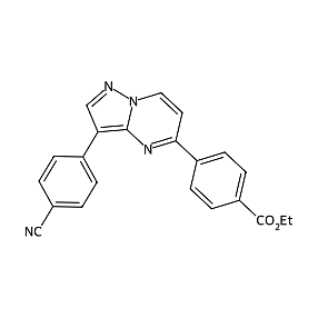 CCOC(=O)c1ccc(-c2ccn3ncc(-c4ccc(C#N)cc4)c3n2)cc1